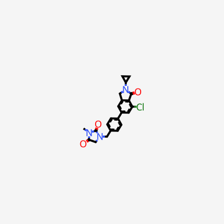 CN1C(=O)CN(Cc2ccc(-c3cc(Cl)c4c(c3)CN(C3CC3)C4=O)cc2)C1=O